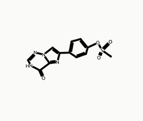 CS(=O)(=O)Oc1ccc(-c2cn3nc[nH]c(=O)c3n2)cc1